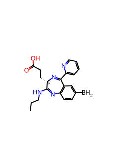 Bc1ccc2c(c1)C(c1ccccn1)=N[C@@H](CCC(=O)O)C(NCCC)=N2